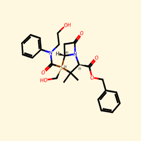 CC1(C)[C@H](C(=O)OCc2ccccc2)N2C(=O)C[C@H]2[S@@]1(CO)C(=O)N(CCO)c1ccccc1